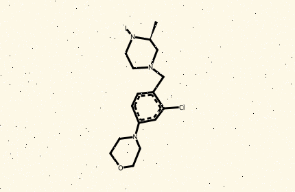 C[C@H]1CN(Cc2ccc(N3CCOCC3)cc2Cl)CCN1I